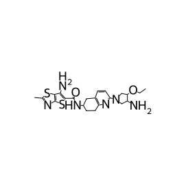 CCOC1CN(c2ccc3c(n2)CCC(NC(=O)c2sc4nc(C)sc4c2N)C3)CC1N